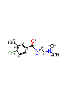 CN(C)CCNC(=O)c1ccc(Cl)c(C(C)(C)C)c1